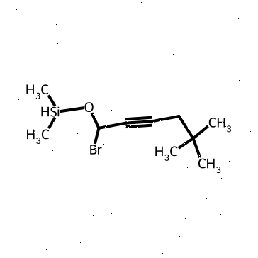 C[SiH](C)OC(Br)C#CCC(C)(C)C